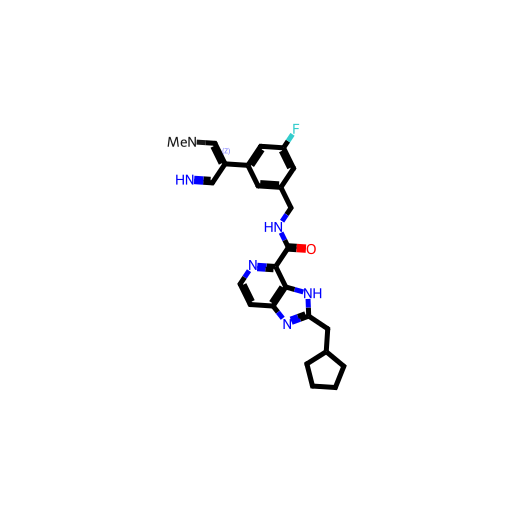 CN/C=C(\C=N)c1cc(F)cc(CNC(=O)c2nccc3nc(CC4CCCC4)[nH]c23)c1